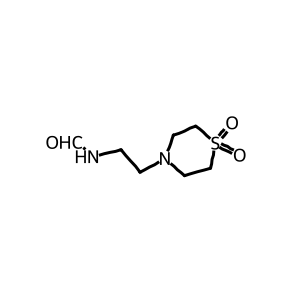 O=CNCCN1CCS(=O)(=O)CC1